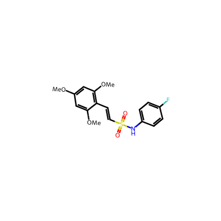 COc1cc(OC)c(C=CS(=O)(=O)Nc2ccc(F)cc2)c(OC)c1